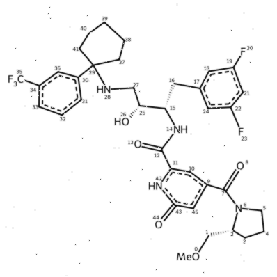 COC[C@H]1CCCN1C(=O)c1cc(C(=O)N[C@@H](Cc2cc(F)cc(F)c2)[C@H](O)CNC2(c3cccc(C(F)(F)F)c3)CCCCC2)[nH]c(=O)c1